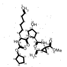 C=CCCCCC[C@H](NC(=O)OC1CCCC1)C(=O)N1C[C@H](O)C[C@H]1C(=O)N[C@]1(C(=O)OC)C[C@H]1C=C